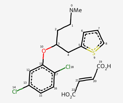 CNCCC(Cc1cccs1)Oc1cc(Cl)ccc1Cl.O=C(O)/C=C/C(=O)O